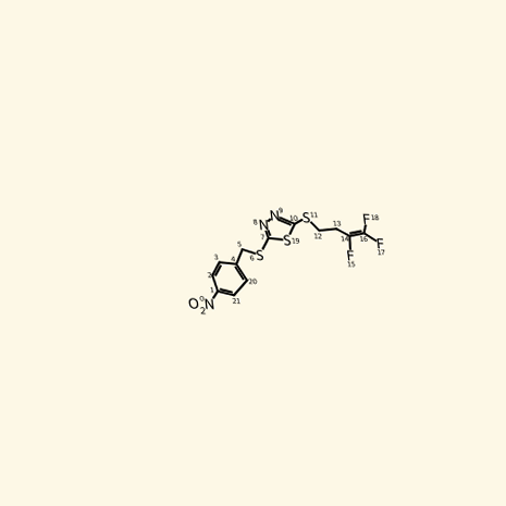 O=[N+]([O-])c1ccc(CSc2nnc(SCCC(F)=C(F)F)s2)cc1